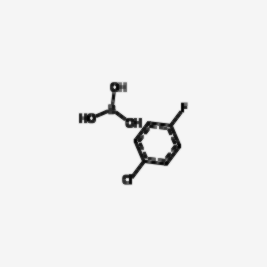 Fc1ccc(Cl)cc1.OB(O)O